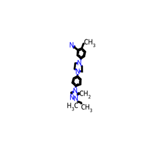 C=C1N(c2ccc(N3CCN(c4ccc(CC)c(C#N)c4)CC3)cc2)C=NN1C(C)CC